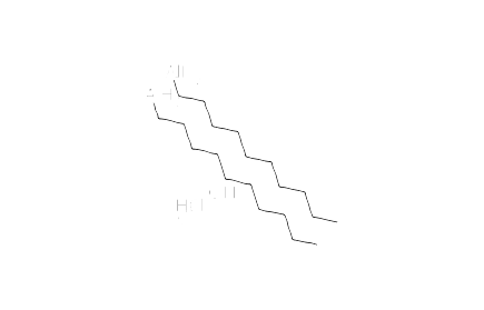 CCCCCCCCC[CH2][AlH2].CCCCCCCCC[CH2][AlH2].Cl.Cl.Cl